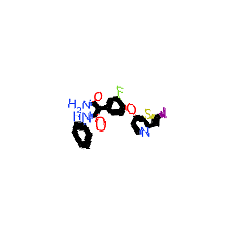 NC(=O)C(C(=O)Nc1ccccc1)c1ccc(Oc2ccnc3cc(I)sc23)c(F)c1